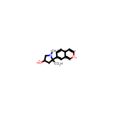 CN1CC(O)CC1(C(=O)O)C1=CC2=COC=CC2C=C1